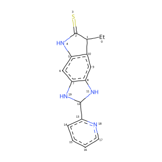 CCC1C(=S)Nc2cc3c(cc21)NC(c1ccccn1)N3